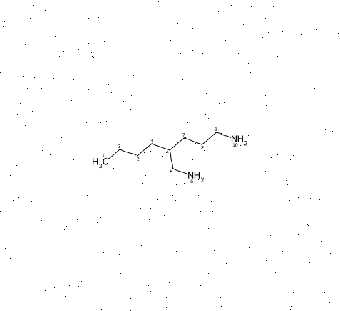 CCCCC(CN)CCCN